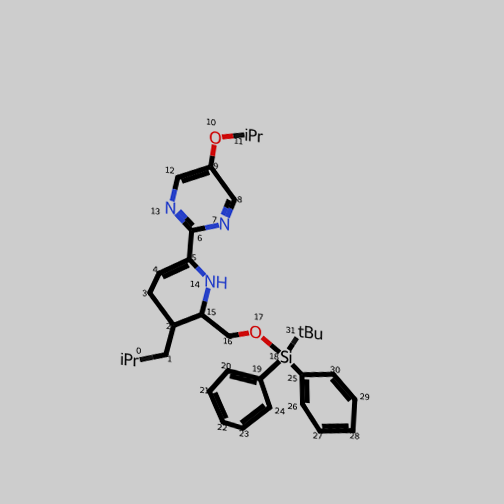 CC(C)CC1CC=C(c2ncc(OC(C)C)cn2)NC1CO[Si](c1ccccc1)(c1ccccc1)C(C)(C)C